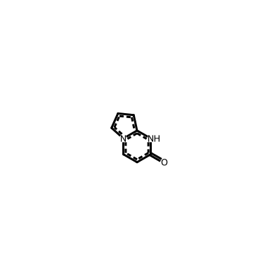 O=c1ccn2cccc2[nH]1